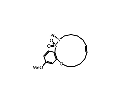 COc1ccc2c(c1)OCCCC/C=C\CCCCN(C(C)C)S2(=O)=O